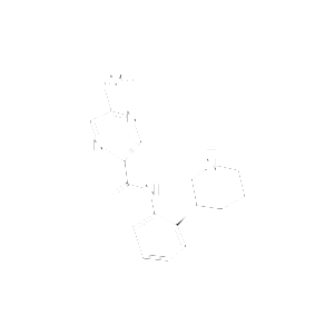 CSc1cnc(C(=O)Nc2ccccc2[C@@H]2CCCNC2)cn1